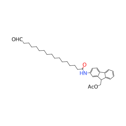 CC(=O)OCC1c2ccccc2-c2ccc(NC(=O)CCCCCCCCCCCCCCCC=O)cc21